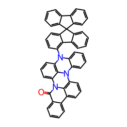 O=c1c2ccccc2c2cccc3c2n1c1cccc2c1-n3c1ccccc1n2-c1cccc2c1-c1ccccc1C21c2ccccc2-c2ccccc21